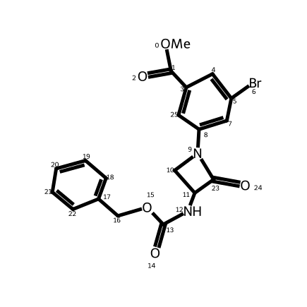 COC(=O)c1cc(Br)cc(N2CC(NC(=O)OCc3ccccc3)C2=O)c1